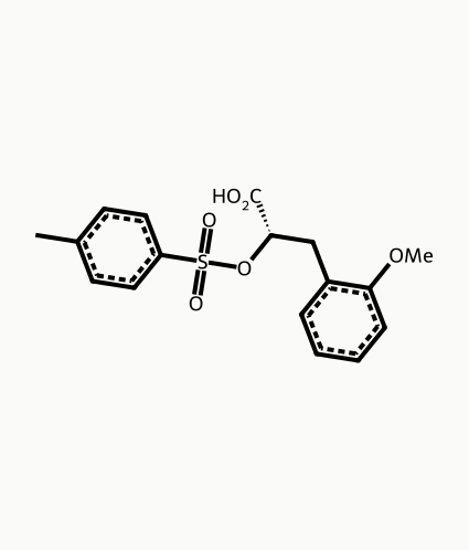 COc1ccccc1C[C@H](OS(=O)(=O)c1ccc(C)cc1)C(=O)O